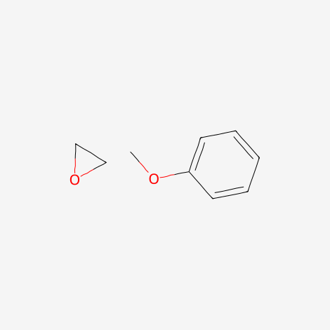 C1CO1.COc1ccccc1